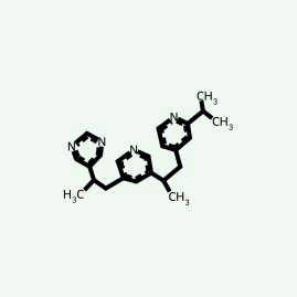 CC(C)c1cc(CC(C)c2cncc(CC(C)c3cncnc3)c2)ccn1